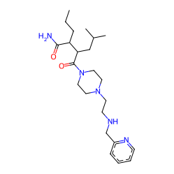 CCCC(C(N)=O)C(CC(C)C)C(=O)N1CCN(CCNCc2ccccn2)CC1